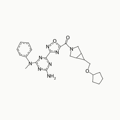 CN(c1ccccc1)c1nc(N)nc(-c2noc(C(=O)N3CC4C(COC5CCCC5)C4C3)n2)n1